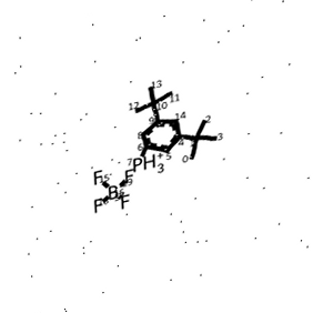 CC(C)(C)c1cc([PH3+])cc(C(C)(C)C)c1.F[B-](F)(F)F